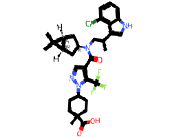 CC(CN(C(=O)c1cnn(C2CCC(C)(C(=O)O)CC2)c1C(F)(F)F)[C@H]1C[C@@H]2[C@H](C1)C2(C)C)c1c[nH]c2cccc(Cl)c12